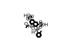 CC(=O)Nc1cc(S(=O)(=O)O)cc2cc(S(=O)(=O)O)c(N=Nc3ccccc3C)c(O)c12